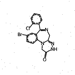 O=C1CN2C(=NN1)CN=C(c1ccccc1Cl)c1cc(Br)ccc12